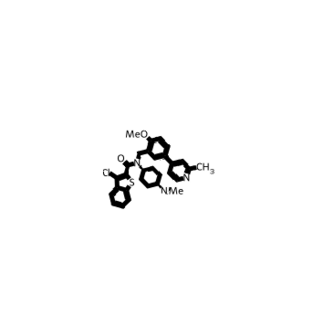 CN[C@H]1CC[C@@H](N(Cc2cc(-c3ccnc(C)c3)ccc2OC)C(=O)c2sc3ccccc3c2Cl)CC1